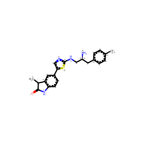 CC1C(=O)Nc2ccc(-c3cnc(NC[C@@H](N)Cc4ccc(C(F)(F)F)cc4)s3)cc21